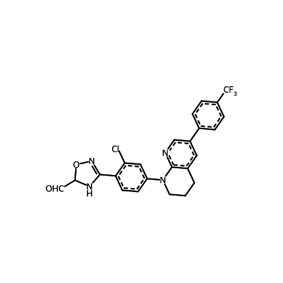 O=CC1NC(c2ccc(N3CCCc4cc(-c5ccc(C(F)(F)F)cc5)cnc43)cc2Cl)=NO1